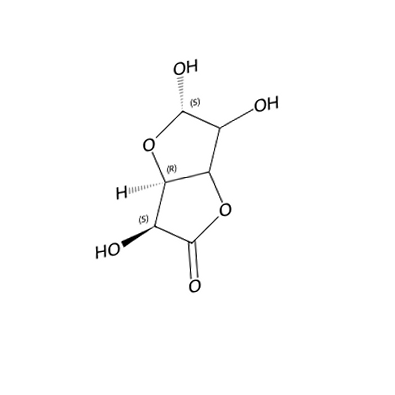 O=C1OC2C(O)[C@@H](O)O[C@@H]2[C@@H]1O